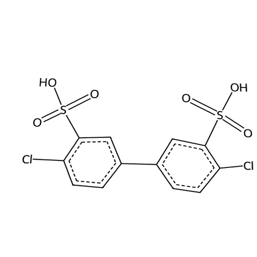 O=S(=O)(O)c1cc(-c2ccc(Cl)c(S(=O)(=O)O)c2)ccc1Cl